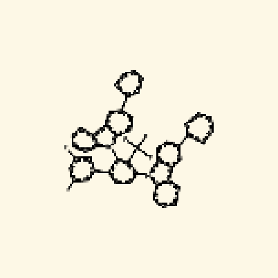 Fc1cc(F)cc(-c2ccc(-n3c4ccccc4c4cc(-c5ccccc5)ccc43)c(C(F)(F)F)c2-n2c3ccccc3c3cc(-c4ccccc4)ccc32)c1